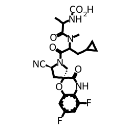 CC(NC(=O)O)C(=O)N(C)C(CC1CC1)C(=O)N1C[C@@]2(C[C@H]1C#N)Oc1cc(F)cc(F)c1NC2=O